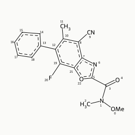 CON(C)C(=O)c1nc2c(C#N)c(C)c(-c3ccccc3)c(F)c2o1